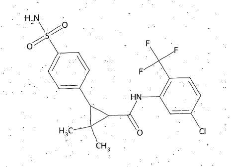 CC1(C)C(C(=O)Nc2cc(Cl)ccc2C(F)(F)F)C1c1ccc(S(N)(=O)=O)cc1